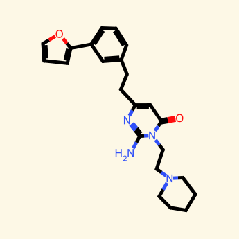 Nc1nc(CCc2cccc(-c3ccco3)c2)cc(=O)n1CCN1CCCCC1